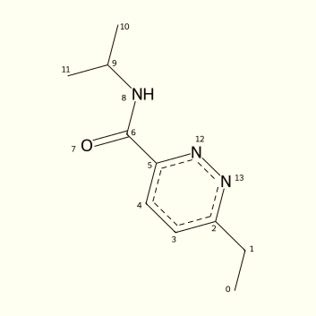 CCc1ccc(C(=O)NC(C)C)nn1